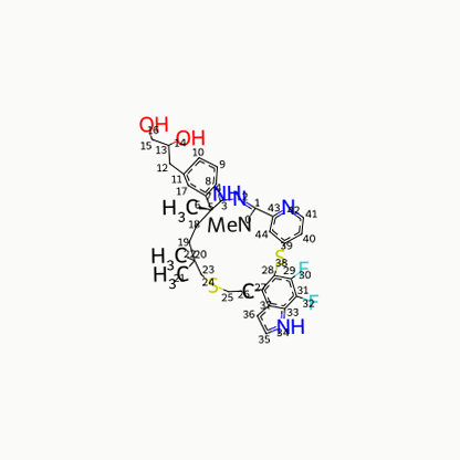 CN/C1=N\C(=N)[C@@](C)(c2cccc(CC(O)CO)c2)CCC(C)(C)CSCCc2c(c(F)c(F)c3[nH]ccc23)Sc2ccnc1c2